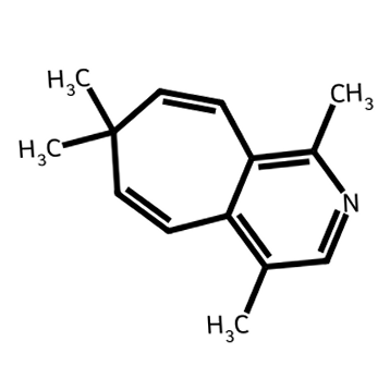 Cc1cnc(C)c2c1C=CC(C)(C)C=C2